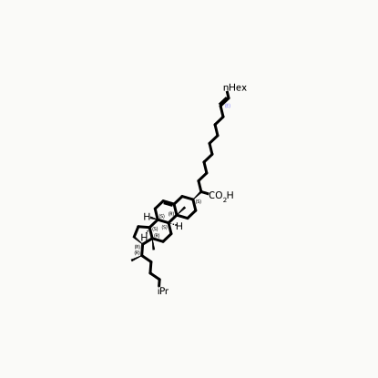 CCCCCC/C=C/CCCCCCCCC(C(=O)O)[C@H]1CC[C@@]2(C)C(=CC[C@H]3[C@@H]4CC[C@H]([C@H](C)CCCC(C)C)[C@@]4(C)CC[C@@H]32)C1